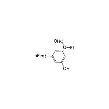 CCCCCc1cccc(O)c1.CCOC=O